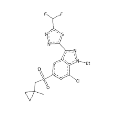 CCn1nc(-c2nnc(C(F)F)s2)c2cc(S(=O)(=O)CC3(C)CC3)cc(Cl)c21